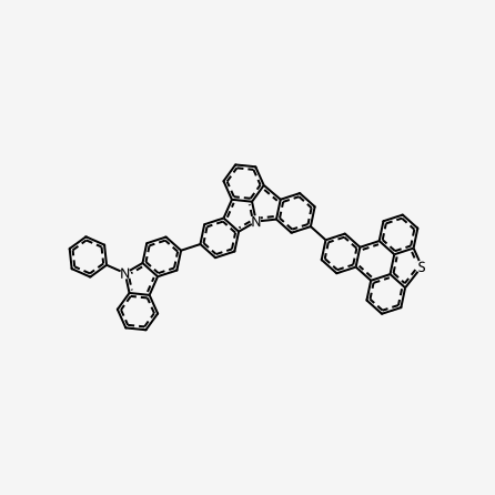 c1ccc(-n2c3ccccc3c3cc(-c4ccc5c(c4)c4cccc6c7ccc(-c8ccc9c(c8)c8cccc%10sc%11cccc9c%11c%108)cc7n5c46)ccc32)cc1